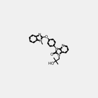 Cn1c(Oc2ccc(-n3c(=O)n(CC(C)(C)O)c4cccnc43)cc2)nc2ccccc21